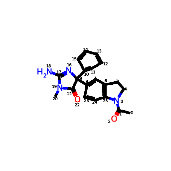 CC(=O)N1CCc2cc(C3(c4ccccc4)N=C(N)N(C)C3=O)ccc21